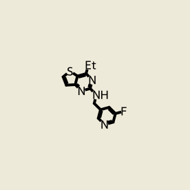 CCc1nc(NCc2cncc(F)c2)nc2ccsc12